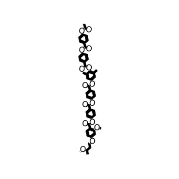 COc1cc(OCCC(C)OC)ccc1C(=O)Oc1ccc(C(=O)Oc2ccc(C(=O)Oc3cc(C)c(OC(=O)c4ccc(OC(=O)c5ccc(OC(C)=O)cc5)cc4)c(C)c3)cc2)cc1